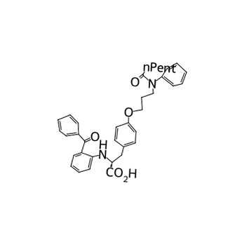 CCCCCC(=O)N(CCCOc1ccc(C[C@H](Nc2ccccc2C(=O)c2ccccc2)C(=O)O)cc1)c1ccccc1